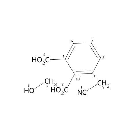 CC#N.CO.O=C(O)c1ccccc1C(=O)O